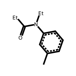 CCC(=O)N(CC)c1cccc(C)c1